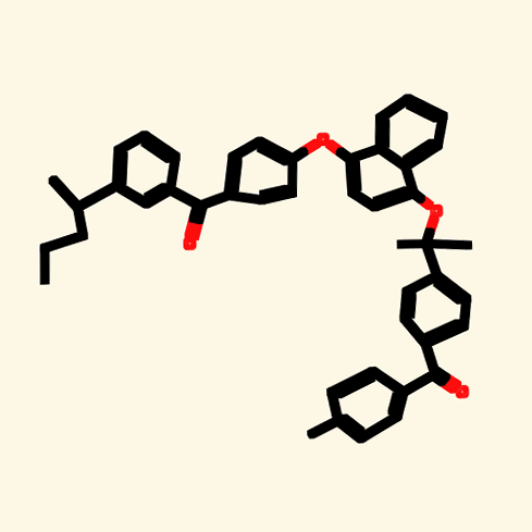 CCCC(C)c1cccc(C(=O)c2ccc(Oc3ccc(OC(C)(C)c4ccc(C(=O)c5ccc(C)cc5)cc4)c4ccccc34)cc2)c1